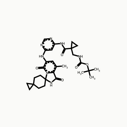 Cc1cc(Nc2cc(NC(=O)C3(CNC(=O)OC(C)(C)C)CC3)ncn2)c(=O)n2c1C(=O)NC21CCC2(CC2)CC1